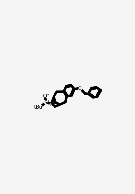 CC(C)(C)[S+]([O-])N=C1C2CCC1Cc1cc(OCc3ccccc3)ccc1C2